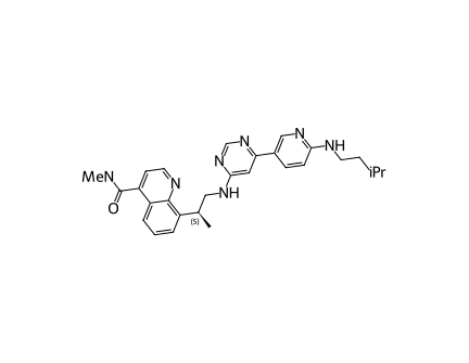 CNC(=O)c1ccnc2c([C@H](C)CNc3cc(-c4ccc(NCCC(C)C)nc4)ncn3)cccc12